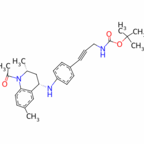 CC(=O)N1c2ccc(C)cc2[C@@H](Nc2ccc(C#CCNC(=O)OC(C)(C)C)cc2)C[C@H]1C